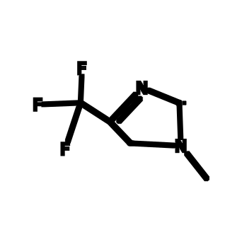 CN1[CH]N=C(C(F)(F)F)C1